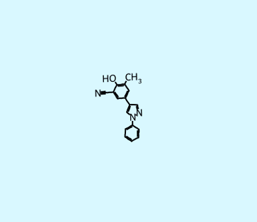 Cc1cc(-c2cnn(-c3ccccc3)c2)cc(C#N)c1O